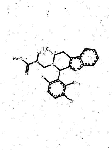 COC(=O)C(C)CN1[C@H](c2c(F)ccc(Br)c2C)c2[nH]c3ccccc3c2C[C@H]1C